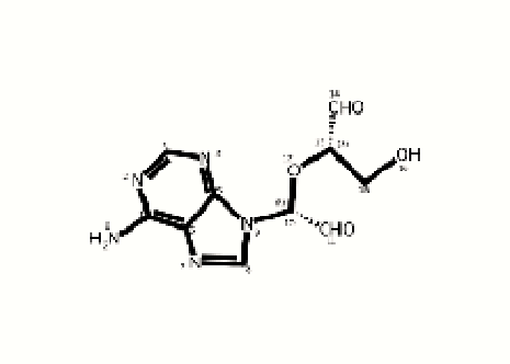 Nc1ncnc2c1ncn2[C@@H](C=O)O[C@H](C=O)CO